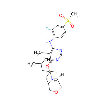 Cc1c(Nc2ccc(S(C)(=O)=O)cc2F)ncnc1OC1CC2COC[C@H](C1)N2CCC(C)C